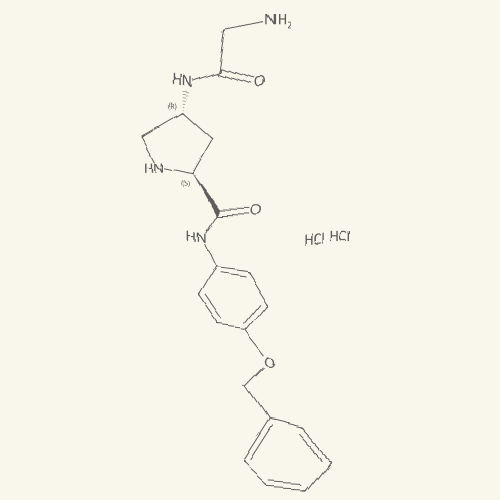 Cl.Cl.NCC(=O)N[C@H]1CN[C@H](C(=O)Nc2ccc(OCc3ccccc3)cc2)C1